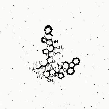 CC[C@H](C)[C@@H]([C@@H](CC(=O)N1CCC[C@H]1[C@H](OC)[C@@H](C)C(=O)N[C@@H](Cc1ccccc1)c1nccs1)OC)N(C)C(=O)[C@@H](NC(=O)C1(NC(=O)OCC2c3ccccc3-c3ccccc32)CCCC1)C(C)C